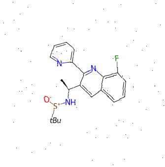 C[C@H](N[S+]([O-])C(C)(C)C)c1cc2cccc(F)c2nc1-c1ccccn1